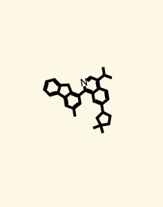 Cc1cc2c(c(-c3ncc(C(C)C)c4ccc(C5CCC(C)(C)C5)cc34)c1)Cc1ccccc1-2